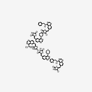 CCN(CC)c1ncnc2ccc(C=C3SC(=O)NC3=O)cc12.O=C1NC(=O)C(=Cc2ccc3ncnc(N4CCCCC4)c3c2)S1.O=C1NC(=O)C(=Cc2ccc3ncnc(N4CCOCC4)c3c2)S1.O=C1NC(=O)C(=Cc2ccc3ncnc(NCc4ccccc4)c3c2)S1.O=C1NC(=O)C(=Cc2ccc3ncnc(NCc4ccccn4)c3c2)S1